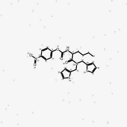 CCCCC(NC(=O)Oc1ccc([N+](=O)[O-])cc1)C(=O)N(Cc1cccs1)Cc1cccs1